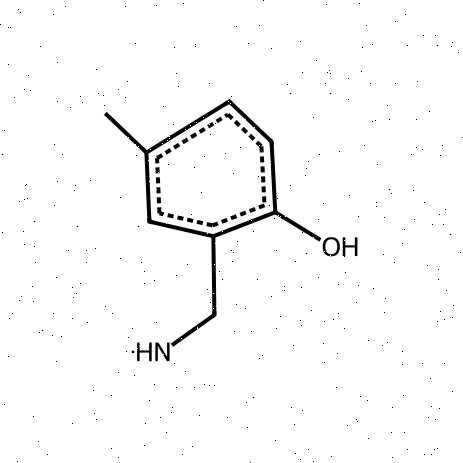 Cc1ccc(O)c(C[NH])c1